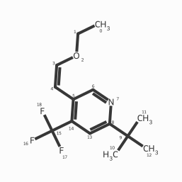 CCO/C=C\c1cnc(C(C)(C)C)cc1C(F)(F)F